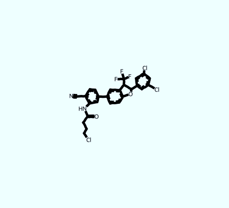 N#Cc1ccc(-c2ccc3c(c2)C(C(F)(F)F)C(c2cc(Cl)cc(Cl)c2)O3)cc1NC(=O)CCCCl